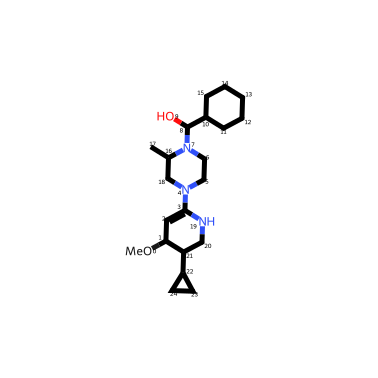 COC1C=C(N2CCN(C(O)C3CCCCC3)C(C)C2)NCC1C1CC1